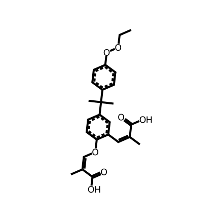 CCOOc1ccc(C(C)(C)c2ccc(OC=C(C)C(=O)O)c(C=C(C)C(=O)O)c2)cc1